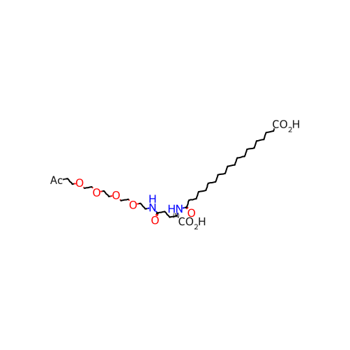 CC(=O)CCOCCOCCOCCOCCNC(=O)CC[C@H](NC(=O)CCCCCCCCCCCCCCCCCCC(=O)O)C(=O)O